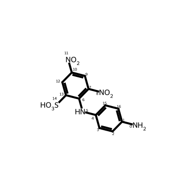 Nc1ccc(Nc2c([N+](=O)[O-])cc([N+](=O)[O-])cc2S(=O)(=O)O)cc1